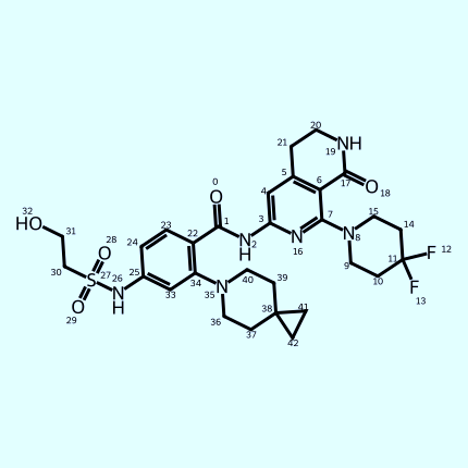 O=C(Nc1cc2c(c(N3CCC(F)(F)CC3)n1)C(=O)NCC2)c1ccc(NS(=O)(=O)CCO)cc1N1CCC2(CC1)CC2